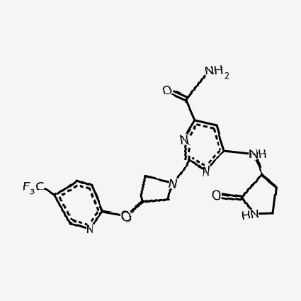 NC(=O)c1cc(N[C@H]2CCNC2=O)nc(N2CC(Oc3ccc(C(F)(F)F)cn3)C2)n1